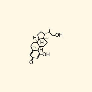 CC(CO)[C@H]1CC[C@H]2[C@@H]3CCC4=CC(=O)C=C(O)[C@]4(C)[C@H]3CC[C@]12C